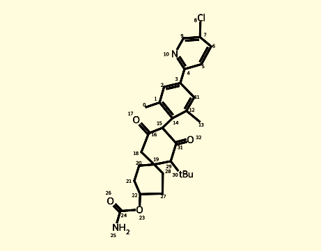 Cc1cc(-c2ccc(Cl)cn2)cc(C)c1C1C(=O)CC2(CCC(OC(N)=O)CC2)C(C(C)(C)C)C1=O